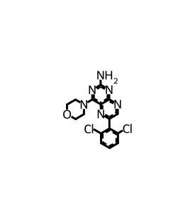 Nc1nc(N2CCOCC2)c2nc(-c3c(Cl)cccc3Cl)cnc2n1